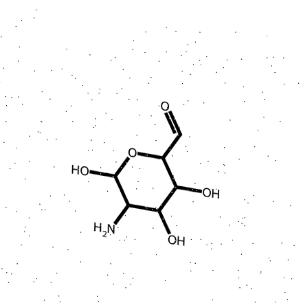 NC1C(O)OC(C=O)C(O)C1O